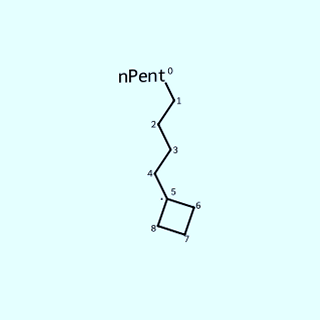 CCCCCCCCC[C]1CCC1